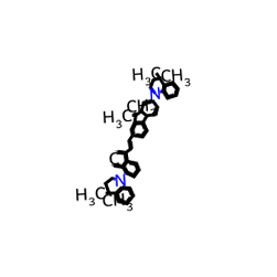 CC1(C)CCN(C2=CC3C(C=C2)c2ccc(/C=C/c4cccc5c(N6CCC(C)(C)c7ccccc76)cccc45)cc2C3(C)C)c2ccccc21